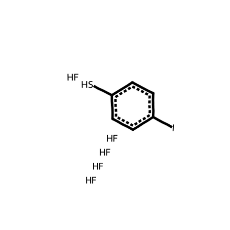 F.F.F.F.F.Sc1ccc(I)cc1